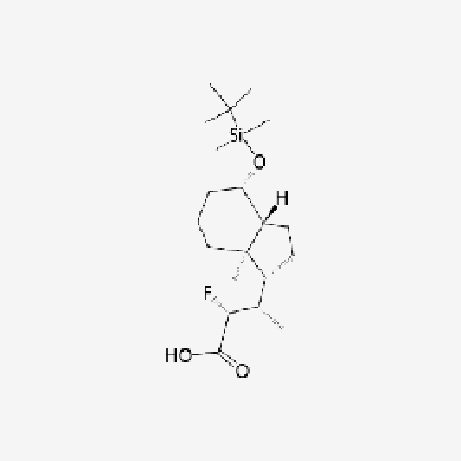 C[C@@H]([C@H]1CC[C@H]2[C@@H](O[Si](C)(C)C(C)(C)C)CCC[C@]12C)[C@@H](F)C(=O)O